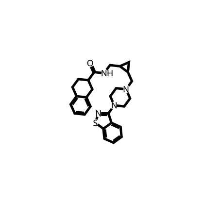 O=C(NCC1CC1CN1CCN(c2nsc3ccccc23)CC1)C1CCc2ccccc2C1